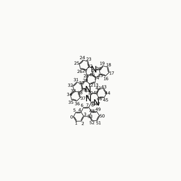 c1ccc2c(c1)cc(-c1nc(-n3c4cc5c6ccccc6n6c7ccccc7c(c4c4ccc7ccccc7c43)c56)c3ccccc3n1)c1ccccc12